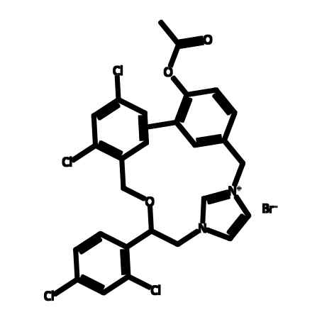 CC(=O)Oc1ccc(C[n+]2ccn(CC(OCc3ccc(Cl)cc3Cl)c3ccc(Cl)cc3Cl)c2)cc1C.[Br-]